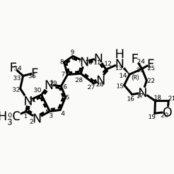 Cc1nc2ccc(-c3ccn4nc(N[C@@H]5CCN(C6COC6)CC5(F)F)ncc34)nc2n1CC(F)F